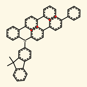 CC1(C)c2ccccc2-c2ccc(N(c3ccc(-c4ccc(-c5ccccc5)cc4)cc3)c3ccccc3-c3ccc(-c4ccccc4)cc3)cc21